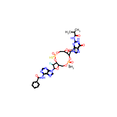 B[P@]1(=O)OCC2OC(n3cnc4c(NC(=O)c5ccccc5)ncnc43)C(F)C2O[P@@](=O)(S)OCC2OC(n3cnc4c(=O)[nH]c(NC(=O)C(C)C)nc43)C(O1)C2OC